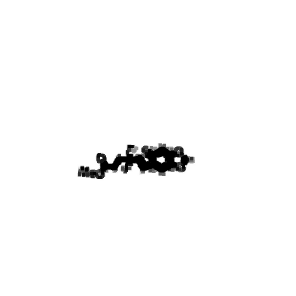 COC(=O)CCC(F)(F)c1cc2cc3c(cc2s1)OCO3